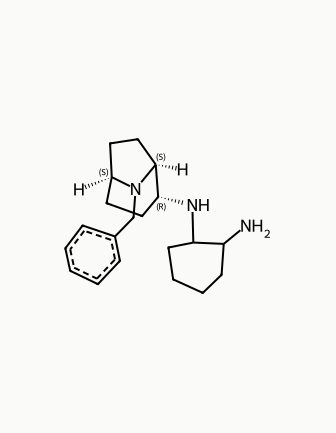 NC1CCCCC1N[C@@H]1CC[C@H]2CC[C@@H]1N2Cc1ccccc1